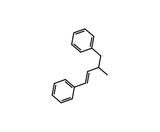 CC([CH]c1ccccc1)C=Cc1ccccc1